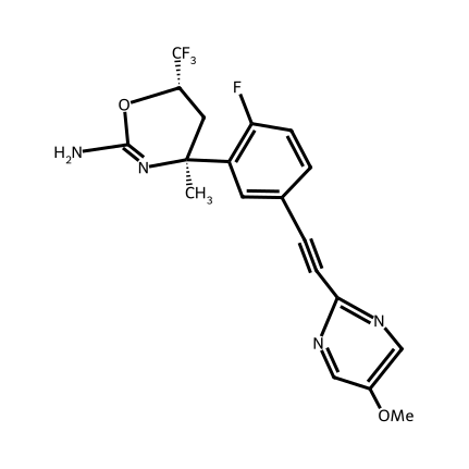 COc1cnc(C#Cc2ccc(F)c([C@]3(C)C[C@@H](C(F)(F)F)OC(N)=N3)c2)nc1